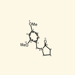 COc1ccc(CN2CCCC2=O)c(OC)c1